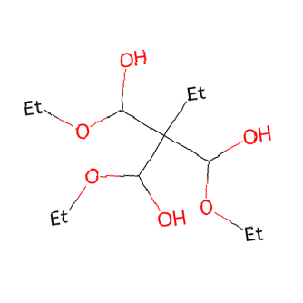 CCOC(O)C(CC)(C(O)OCC)C(O)OCC